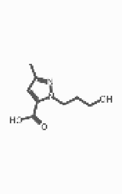 Cc1cc(C(=O)O)n(CCCO)n1